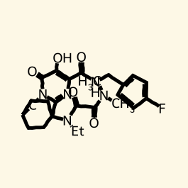 CCN(C(=O)C(=O)N(C)C)C12CCC(CC1)Cn1c2nc(C(=O)NCc2ccc(F)cc2)c(O)c1=O